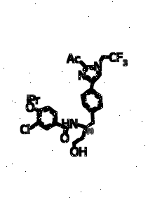 CC(=O)c1nc(-c2ccc(C[C@@H](CCO)NC(=O)c3ccc(OC(C)C)c(Cl)c3)cc2)cn1CC(F)(F)F